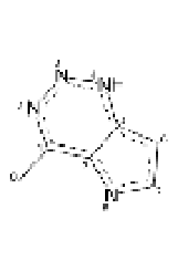 Cc1nn[nH]c2ccnc1-2